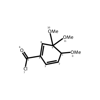 COC1C=CC(C(=O)Cl)=CC1(OC)OC